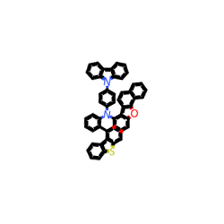 c1ccc(N(c2ccc(-n3c4ccccc4c4ccccc43)cc2)c2cccc3oc4c5ccccc5ccc4c23)c(-c2cccc3sc4ccccc4c23)c1